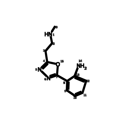 CNCCc1nnc(-c2ccccc2N)o1